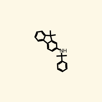 CC(C)(Nc1ccc2c(c1)C(C)(C)c1ccccc1-2)c1ccccc1